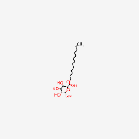 CCCCCCCCCCCCCOC(O)[C@H]1O[C@H](O)[C@H](O)[C@@H](O)[C@@H]1O